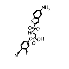 N#Cc1ccc(OP(=O)(O)CNS(=O)(=O)c2cc3cc(N)ccc3s2)cc1F